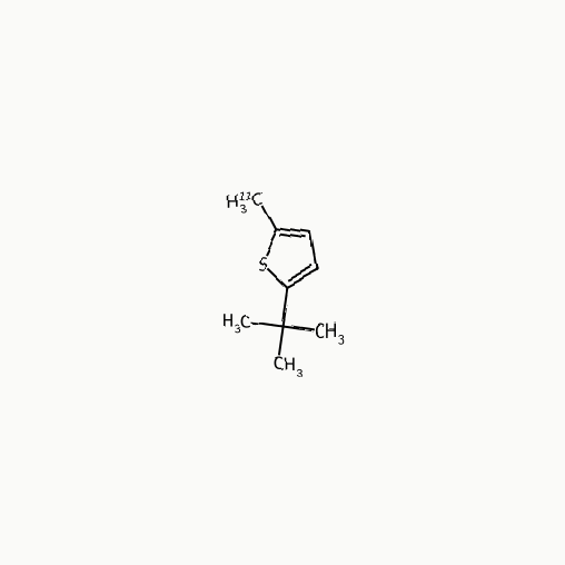 CC(C)(C)c1ccc([11CH3])s1